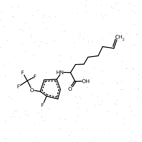 C=CCCCCCC(Nc1ccc(F)c(OC(F)(F)F)c1)C(=O)O